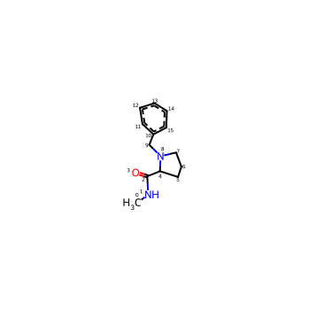 CNC(=O)C1CCCN1Cc1ccccc1